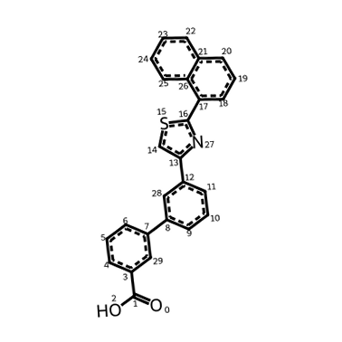 O=C(O)c1cccc(-c2cccc(-c3csc(-c4cccc5ccccc45)n3)c2)c1